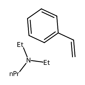 C=Cc1ccccc1.CCCN(CC)CC